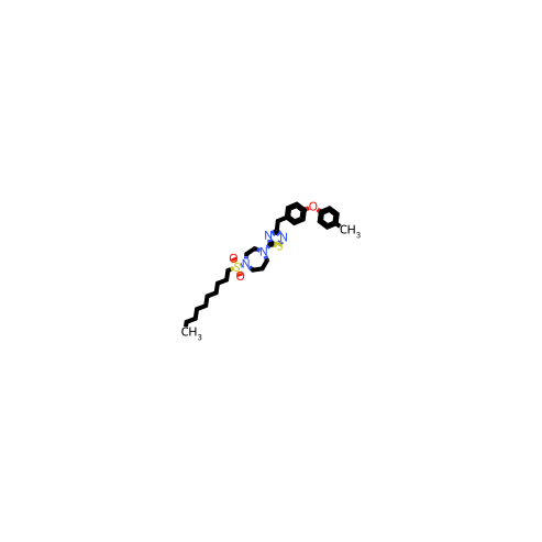 CCCCCCCCCCS(=O)(=O)N1CCCN(c2nc(Cc3ccc(Oc4ccc(C)cc4)cc3)ns2)CC1